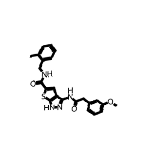 COc1cccc(CC(=O)Nc2n[nH]c3sc(C(=O)NCc4ccccc4C)cc23)c1